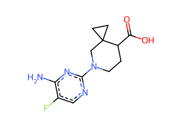 Nc1nc(N2CCC(C(=O)O)C3(CC3)C2)ncc1F